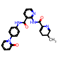 CC1C=NC(C(=O)Nc2ncccc2C(=O)Nc2ccc(-n3ccccc3=O)cc2)=CC1